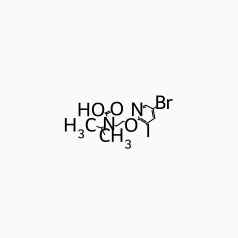 CC(C)N(CCOc1ncc(Br)cc1I)C(=O)O